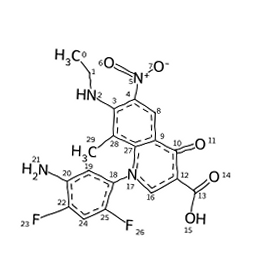 CCNc1c([N+](=O)[O-])cc2c(=O)c(C(=O)O)cn(-c3cc(N)c(F)cc3F)c2c1C